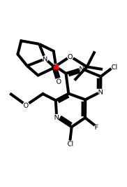 COCc1nc(Cl)c(F)c2nc(Cl)nc(N3CC4CCC(C3)N4C(=O)OC(C)(C)C)c12